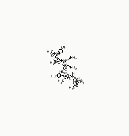 CC(=O)N[C@@H](Cc1ccc(O)cc1)CN(CC(=O)N[C@@H](CCCCN)CN(CC(=O)N[C@@H](Cc1ccc(O)cc1)CN(CC(=O)N[C@@H](C)CN(CC(N)=O)S(C)(=O)=O)S(=O)(=O)CCN)S(=O)(=O)CCN)S(C)(=O)=O